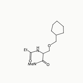 CCC(=O)NC(COCC1CCCCC1)C(=O)NC